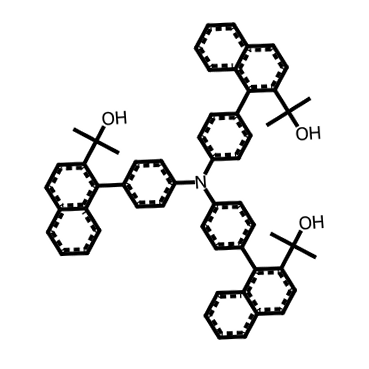 CC(C)(O)c1ccc2ccccc2c1-c1ccc(N(c2ccc(-c3c(C(C)(C)O)ccc4ccccc34)cc2)c2ccc(-c3c(C(C)(C)O)ccc4ccccc34)cc2)cc1